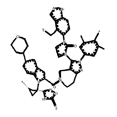 Cc1cc(-n2nc3c(c2-n2ccn(-c4ccc5[nH]ncc5c4CF)c2=O)CN(C(=O)c2cc4cc(C5CCOCC5)ccc4n2[C@@]2(c4noc(=O)[nH]4)C[C@@H]2C)CC3)cc(C)c1F